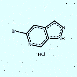 Brc1cc2cn[nH]c2cn1.Cl